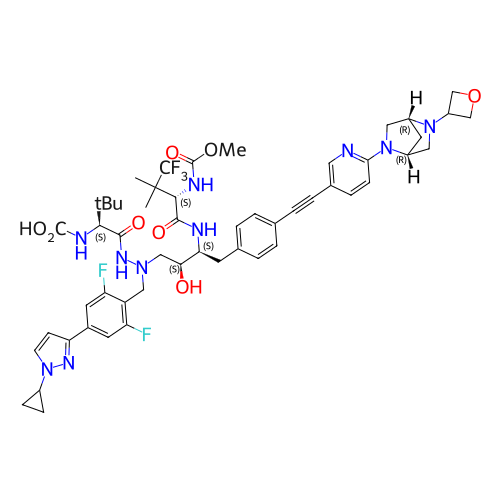 COC(=O)N[C@H](C(=O)N[C@@H](Cc1ccc(C#Cc2ccc(N3C[C@H]4C[C@@H]3CN4C3COC3)nc2)cc1)[C@@H](O)CN(Cc1c(F)cc(-c2ccn(C3CC3)n2)cc1F)NC(=O)[C@@H](NC(=O)O)C(C)(C)C)C(C)(C)C(F)(F)F